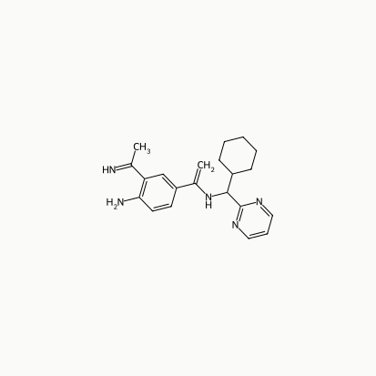 C=C(NC(c1ncccn1)C1CCCCC1)c1ccc(N)c(C(C)=N)c1